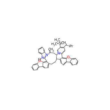 C=C1CC2C(CCc3ccc4c(oc5ccccc54)c3-c3n(CC)c4ccccc4[n+]31)c1ccc3c(oc4ccccc43)c1-c1cc(CC(C)C)c([Si](C)(C)C)c[n+]12